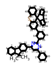 CC1(C)c2ccccc2-c2ccc(-c3cc(-c4ccccc4)nc(-c4cccc(-c5ccc6c(c5)C5(c7ccccc7S6)c6ccccc6-c6ccccc65)c4)n3)cc21